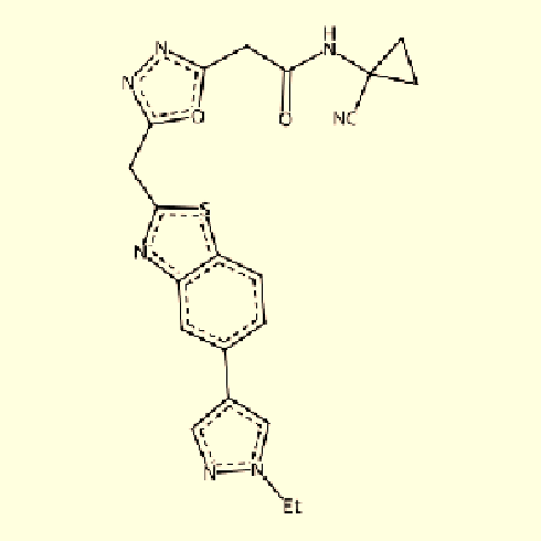 CCn1cc(-c2ccc3sc(Cc4nnc(CC(=O)NC5(C#N)CC5)o4)nc3c2)cn1